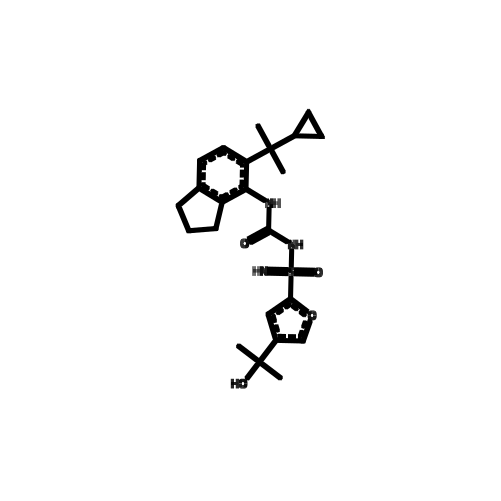 CC(C)(O)c1coc(S(=N)(=O)NC(=O)Nc2c(C(C)(C)C3CC3)ccc3c2CCC3)c1